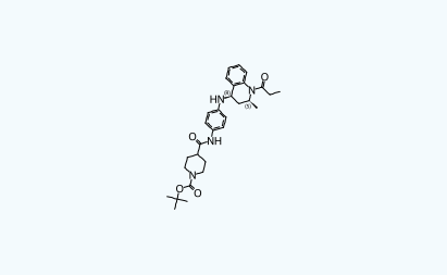 CCC(=O)N1c2ccccc2[C@H](Nc2ccc(NC(=O)C3CCN(C(=O)OC(C)(C)C)CC3)cc2)C[C@@H]1C